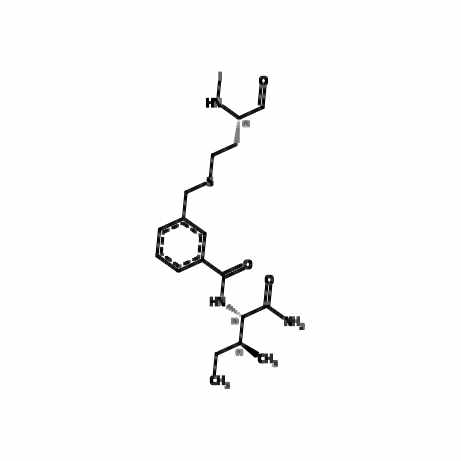 CC[C@H](C)[C@H](NC(=O)c1cccc(CSCC[C@@H](C=O)NI)c1)C(N)=O